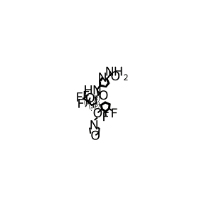 C[C@H]1[C@@H](c2ccc(F)c(F)c2OCCN2CCOCC2)[C@H](C(=O)Nc2ccc(C(N)=O)nc2)O[C@@]1(C)C(F)(F)F